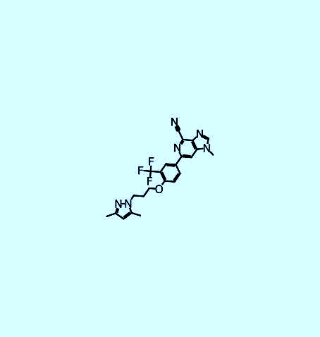 Cc1cc(C)n(CCCOc2ccc(-c3cc4c(ncn4C)c(C#N)n3)cc2C(F)(F)F)n1